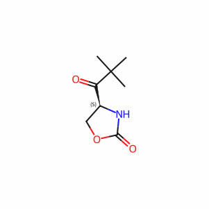 CC(C)(C)C(=O)[C@@H]1COC(=O)N1